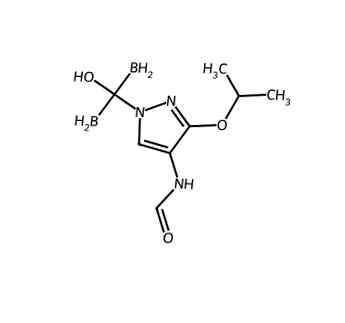 BC(B)(O)n1cc(NC=O)c(OC(C)C)n1